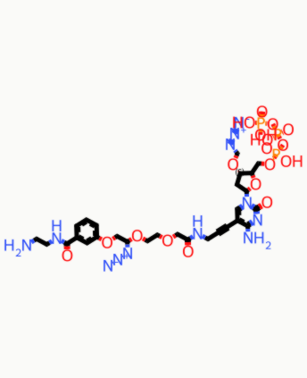 [N-]=[N+]=NCO[C@H]1CC(n2cc(C#CCNC(=O)COCCOC(COc3cccc(C(=O)NCCN)c3)N=[N+]=[N-])c(N)nc2=O)OC1COP(=O)(O)OP(=O)(O)OP(=O)(O)O